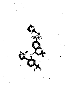 Cn1nccc1-c1ccc(C(F)(F)F)cc1O[C@@H]1CC(C)(C)Oc2cc(S(=O)(=O)Nc3nccs3)ccc21